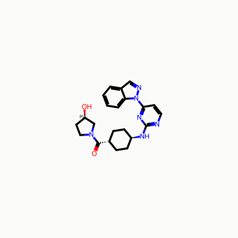 O=C([C@H]1CC[C@H](Nc2nccc(-n3ncc4ccccc43)n2)CC1)N1CC[C@@H](O)C1